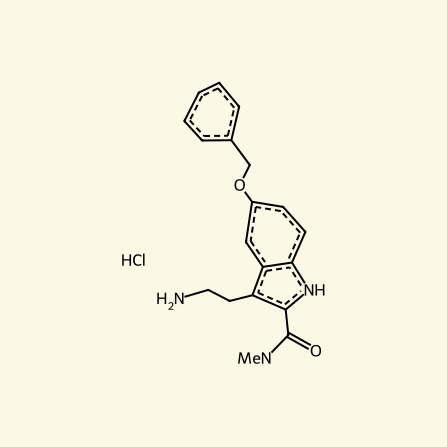 CNC(=O)c1[nH]c2ccc(OCc3ccccc3)cc2c1CCN.Cl